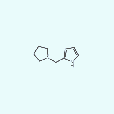 [c]1ccc(CN2CCCC2)[nH]1